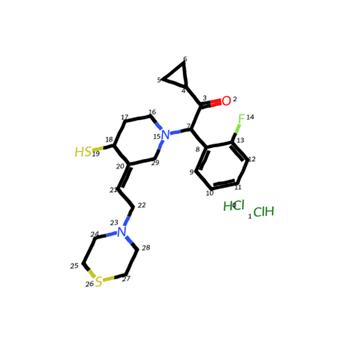 Cl.Cl.O=C(C1CC1)C(c1ccccc1F)N1CCC(S)/C(=C/CN2CCSCC2)C1